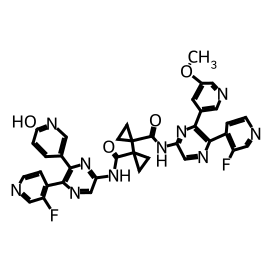 COc1cncc(-c2nc(NC(=O)C3(C4(C(=O)Nc5cnc(-c6ccncc6F)c(-c6ccc(O)nc6)n5)CC4)CC3)cnc2-c2ccncc2F)c1